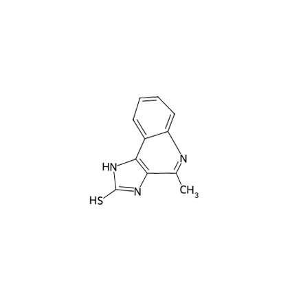 Cc1nc2ccccc2c2[nH]c(S)nc12